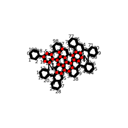 c1ccc(-c2ccc(-c3ccccc3)c(N(c3ccccc3-c3cccc4ccccc34)c3ccc(-c4cccc5c(-c6ccccc6N(c6ccc(-c7ccccc7)c(-c7ccccc7)c6)c6ccccc6-c6cc7ccccc7c7ccccc67)cccc45)cc3-c3cc4ccccc4c4ccccc34)c2)cc1